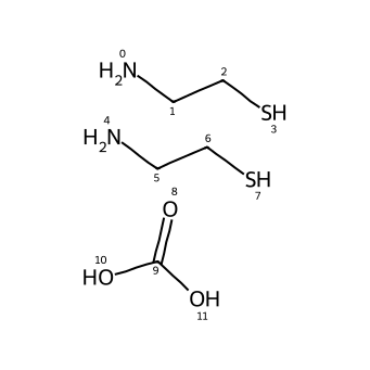 NCCS.NCCS.O=C(O)O